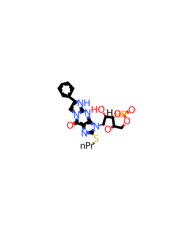 CCCSc1nc2c(=O)n3cc(-c4ccccc4)[nH]c3nc2n1[C@@H]1OC2CO[PH](=O)O[C@H]2[C@@H]1O